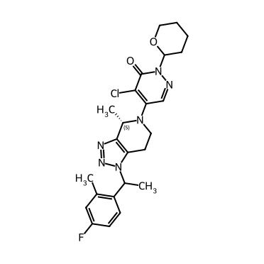 Cc1cc(F)ccc1C(C)n1nnc2c1CCN(c1cnn(C3CCCCO3)c(=O)c1Cl)[C@H]2C